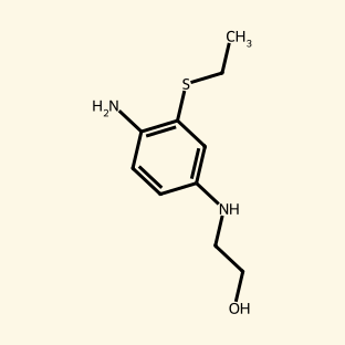 CCSc1cc(NCCO)ccc1N